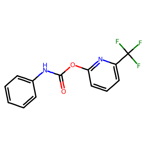 O=C(Nc1ccccc1)Oc1cccc(C(F)(F)F)n1